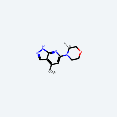 C[C@@H]1COCCN1c1cc(C(=O)O)c2cn[nH]c2n1